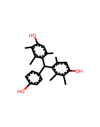 Cc1cc(O)c(C)c(C)c1C(c1ccc(O)cc1)c1c(C)cc(O)c(C)c1C